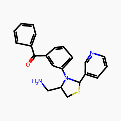 NCC1CSC(c2cccnc2)N1c1cccc(C(=O)c2ccccc2)c1